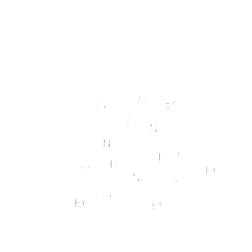 C=CCOP1(OCC)=NP(OCC)(OCC)=NP(OCC)(OCC=C)=N1